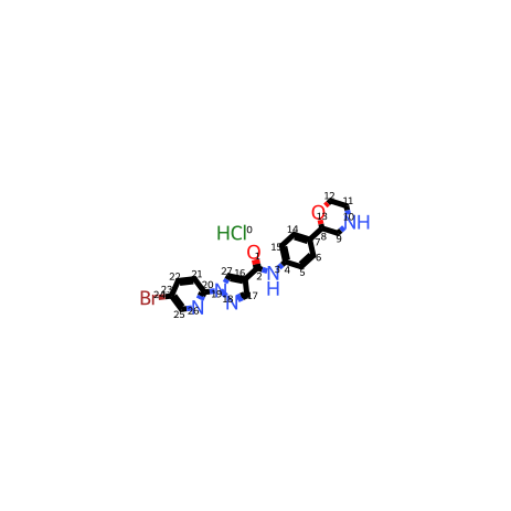 Cl.O=C(Nc1ccc(C2CNCCO2)cc1)c1cnn(-c2ccc(Br)cn2)c1